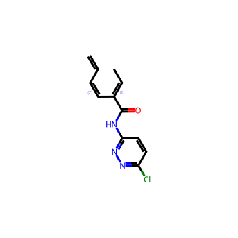 C=C/C=C\C(=C/C)C(=O)Nc1ccc(Cl)nn1